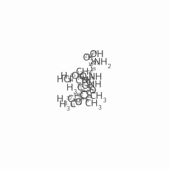 Cc1c(C)c(S(=O)(=O)NC(=NOC(C)(C)C)NCCCC(N)C(=O)O)c(C)c2c1OC(C)(C)C2.Cl